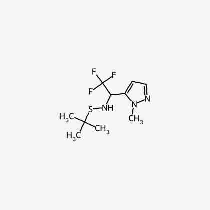 Cn1nccc1C(NSC(C)(C)C)C(F)(F)F